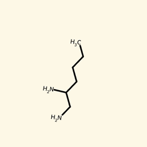 CCCCC(N)CN